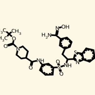 CC(C)(C)OC(=O)N1CCC(C(=O)Nc2cccc(S(=O)(=O)NC(Cc3cccc(/C(N)=N\O)c3)c3nc4ccccc4s3)c2)CC1